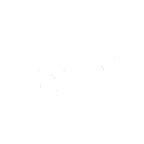 CCCC(C)(CCC)N(C(C)=O)C(=O)CCN(C)C(C)=O